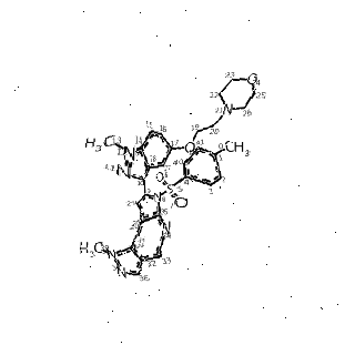 Cc1ccc(S(=O)(=O)n2c(-c3nn(C)c4ccc(OCCN5CCOCC5)cc34)cc3c4c(cnc32)cnn4C)cc1